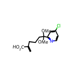 C=C(CCCC(OC)(OC)c1cc(Cl)ccn1)C(=O)O